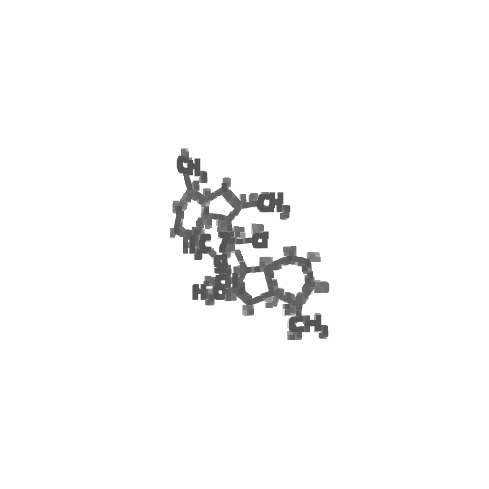 CC1=Cc2c(C)cccc2[CH]1[Zr]([Cl])([CH]1C(C)=Cc2c(C)cccc21)=[Si](C)C